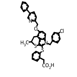 CC1Cc2c(OCc3ccc(-c4ccccc4)cn3)ccc3c2c(c(Sc2ccccc2CC(=O)O)n3Cc2ccc(Cl)cc2)S1